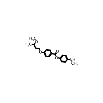 CNc1ccc(OC(=O)c2ccc(OCCC(C)OC)cc2)cc1